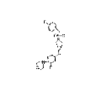 O=S(=O)(Cc1ccc(F)cc1)N1CC2C([CH]c3ccc(N4CCOCC4)c(F)c3)C2C1